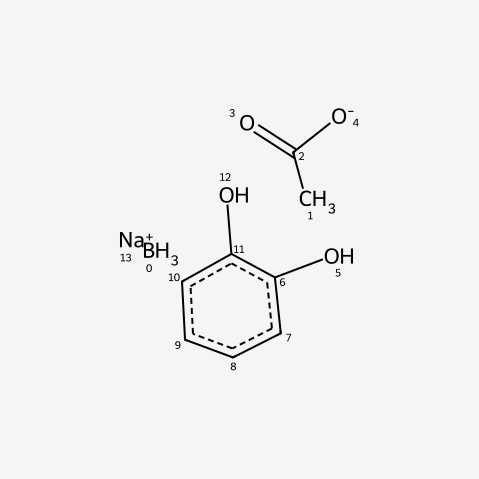 B.CC(=O)[O-].Oc1ccccc1O.[Na+]